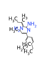 C=C/C=C(\C=C/C(C)CC)C(=C/CC)/N=C(N)\C(N)=C(/C)CC